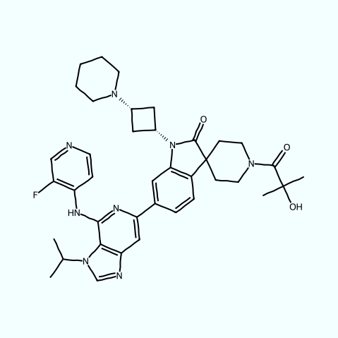 CC(C)n1cnc2cc(-c3ccc4c(c3)N([C@H]3C[C@@H](N5CCCCC5)C3)C(=O)C43CCN(C(=O)C(C)(C)O)CC3)nc(Nc3ccncc3F)c21